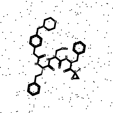 COC[C@H](NC(=O)[C@H](CCc1ccccc1)NC(=O)Cc1ccc(CN2CCOCC2)cc1)C(=O)N[C@@H](Cc1ccccc1)C(=O)[C@@]1(C)CO1